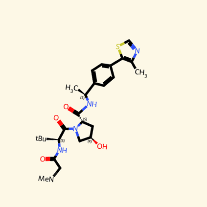 CNCC(=O)N[C@H](C(=O)N1C[C@H](O)C[C@H]1C(=O)N[C@@H](C)c1ccc(-c2scnc2C)cc1)C(C)(C)C